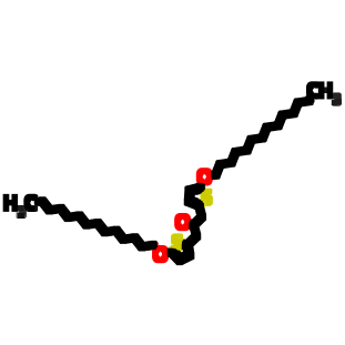 CCCCCCCCCCCCCCOc1ccc(CC(=O)Cc2ccc(OCCCCCCCCCCCCCC)s2)s1